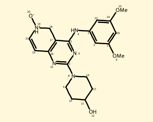 COc1cc(Nc2nc(N3CCC(O)CC3)nc3c2C[NH+]([O-])C=C3)cc(OC)c1